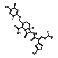 Cn1nc(O)c(=O)nc1SCC1=C(C(=O)O)N2C(=O)C(NC(=O)C(=NOC(F)F)c3csc(N)n3)[C@@H]2SC1